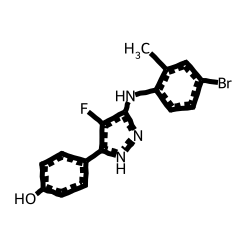 Cc1cc(Br)ccc1Nc1n[nH]c(-c2ccc(O)cc2)c1F